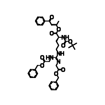 C/C(=C\C(=O)c1ccccc1)OC(=O)[C@H](CCCN/C(=N/CC(=O)OCc1ccccc1)NCC(=O)OCc1ccccc1)NC(=O)OC(C)(C)C